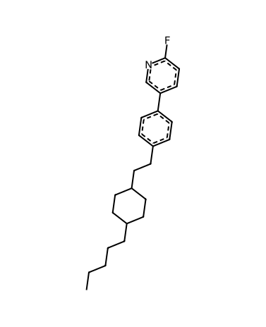 CCCCCC1CCC(CCc2ccc(-c3ccc(F)nc3)cc2)CC1